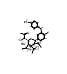 CC(=O)C(O)[C@H]1O[C@@H](c2ccc(C)c(Cc3ccc(O)cc3)c2)[C@@](O)(C(C)=O)[C@](O)(C(C)=O)[C@@]1(O)C(C)=O